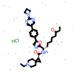 CCC(=O)CCCCC[C@H](NC(=O)[C@H]1CC12CCN(CC)CC2)c1ncc(-c2ccc(-c3cnc(N4CCC4)nc3)cc2)o1.Cl